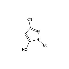 CCn1nc(C#N)cc1O